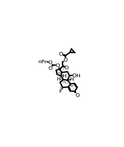 CCCOC(=O)O[C@]1(C(=O)COC(=O)C2CC2)CC[C@H]2[C@@H]3C[C@H](F)C4=CC(=O)C=C[C@]4(C)[C@H]3C(O)C[C@@]21C